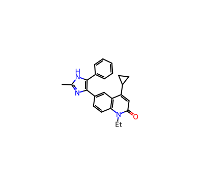 CCn1c(=O)cc(C2CC2)c2cc(-c3nc(C)[nH]c3-c3ccccc3)ccc21